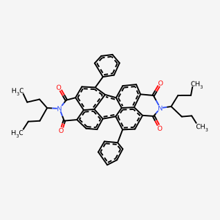 CCCC(CCC)N1C(=O)c2ccc3c4c(-c5ccccc5)cc5c6c(ccc(c7c(-c8ccccc8)cc(c2c37)C1=O)c64)C(=O)N(C(CCC)CCC)C5=O